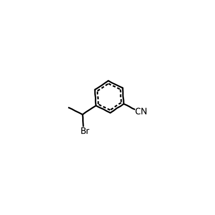 CC(Br)c1cccc(C#N)c1